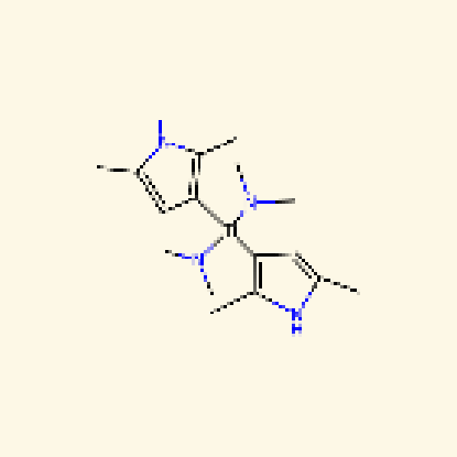 Cc1c[c]([Ti]([c]2cc(C)[nH]c2C)([N](C)C)[N](C)C)c(C)[nH]1